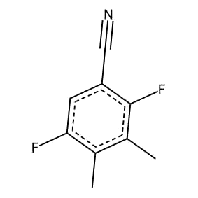 Cc1c(F)cc(C#N)c(F)c1C